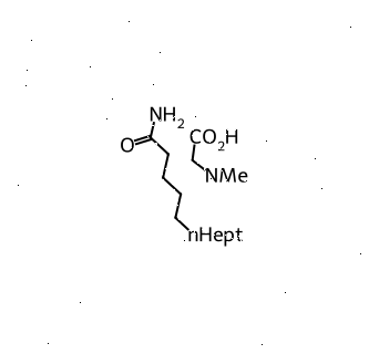 CCCCCCCCCCCC(N)=O.CNCC(=O)O